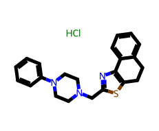 Cl.c1ccc(N2CCN(Cc3nc4c(s3)CCc3ccccc3-4)CC2)cc1